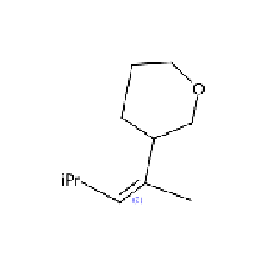 C/C(=C/C(C)C)C1CCCOC1